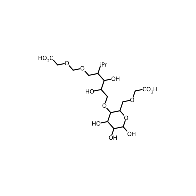 CC(C)C(COCOCC(=O)O)C(O)C(O)COC1C(COCC(=O)O)OC(O)C(O)C1O